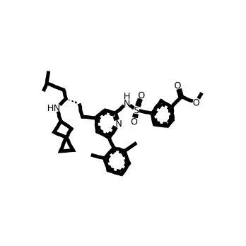 COC(=O)c1cccc(S(=O)(=O)Nc2cc(CC[C@@H](CC(C)C)NC3CC4(CC4)C3)cc(-c3c(C)cccc3C)n2)c1